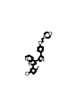 Fc1ccc(Cl)cc1-c1cc(-c2cncc(-c3ccc(OCCN4CCOCC4)cc3)c2)c2cccnc2n1